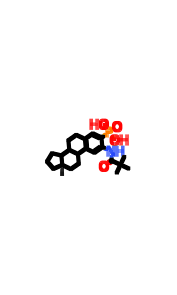 CC(C)(C)C(=O)Nc1cc2c(cc1P(=O)(O)O)CCC1C2CC[C@]2(C)CCCC12